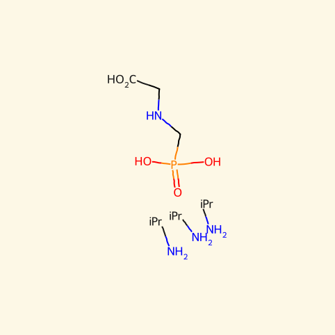 CC(C)N.CC(C)N.CC(C)N.O=C(O)CNCP(=O)(O)O